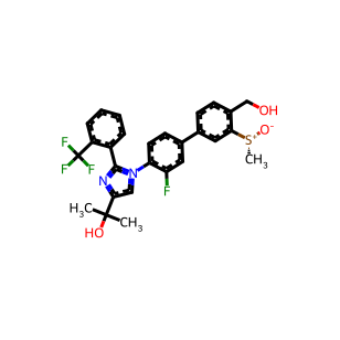 C[S@@+]([O-])c1cc(-c2ccc(-n3cc(C(C)(C)O)nc3-c3ccccc3C(F)(F)F)c(F)c2)ccc1CO